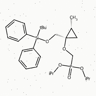 CC(C)OP(=O)(CO[C@]1(CO[Si](c2ccccc2)(c2ccccc2)C(C)(C)C)C[C@H]1C)OC(C)C